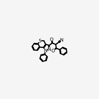 N#CC(C(=O)c1ccccc1)C(=O)c1nn(-c2ccccc2)c2c1CSc1ccccc1-2